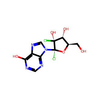 OC[C@H]1O[C@@](Cl)(n2cnc3c(O)ncnc32)[C@@](O)(Cl)[C@@H]1O